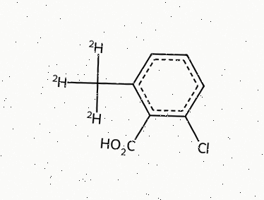 [2H]C([2H])([2H])c1cccc(Cl)c1C(=O)O